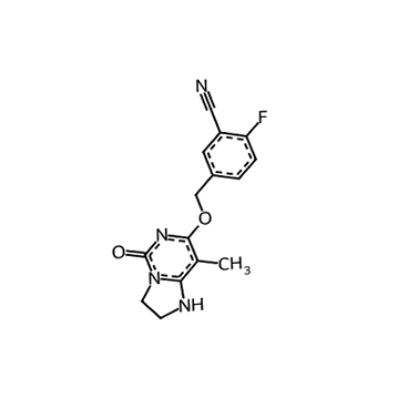 Cc1c(OCc2ccc(F)c(C#N)c2)nc(=O)n2c1NCC2